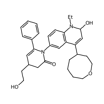 CCN1c2ccc(N3C(=O)CC(CCO)C=C3c3ccccc3)cc2C(C2CCCCOCC2)=CC1O